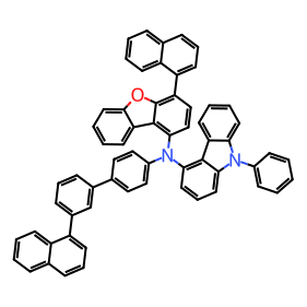 c1ccc(-n2c3ccccc3c3c(N(c4ccc(-c5cccc(-c6cccc7ccccc67)c5)cc4)c4ccc(-c5cccc6ccccc56)c5oc6ccccc6c45)cccc32)cc1